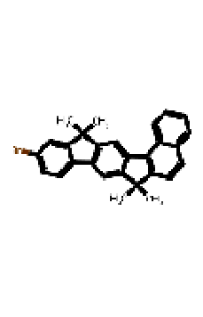 CC1(C)c2cc(Br)ccc2-c2cc3c(cc21)-c1c(ccc2ccccc12)C3(C)C